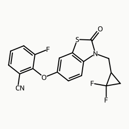 N#Cc1cccc(F)c1Oc1ccc2c(c1)sc(=O)n2CC1CC1(F)F